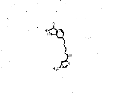 Cn1cnc(NCCCCc2ccc3c(=O)[nH][nH]c3c2)c1